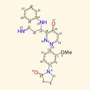 COc1cc(N2CCCC2=O)ccc1-n1ccc(=O)c(C(CC=N)Nc2ccccc2)n1